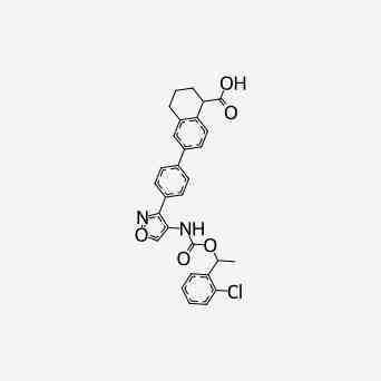 CC(OC(=O)Nc1conc1-c1ccc(-c2ccc3c(c2)CCCC3C(=O)O)cc1)c1ccccc1Cl